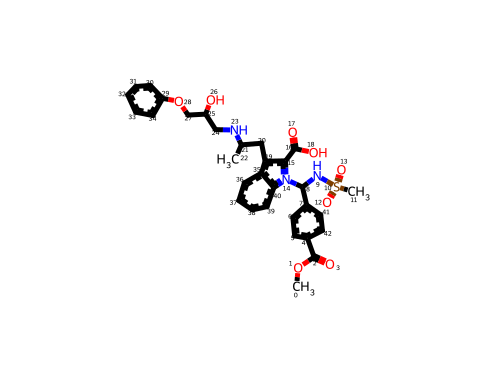 COC(=O)c1ccc(C(NS(C)(=O)=O)n2c(C(=O)O)c(CC(C)NCC(O)COc3ccccc3)c3ccccc32)cc1